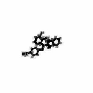 CN1CCC(OC(c2nc3ccccc3[nH]2)c2cccc(I)c2F)CC1